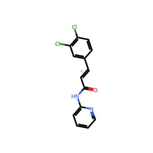 O=C(/C=C/c1ccc(Cl)c(Cl)c1)Nc1ccccn1